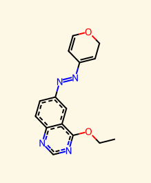 CCOc1ncnc2ccc(N=NC3=CCOC=C3)cc12